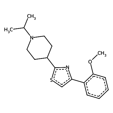 COc1ccccc1-c1csc(C2CCN(C(C)C)CC2)n1